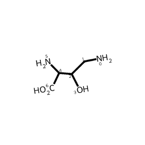 NCC(O)C(N)C(=O)O